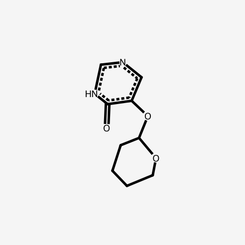 O=c1[nH]cncc1OC1CCCCO1